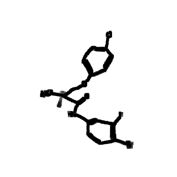 C[C@](O)(COc1ccc(Cl)cc1)C(=O)Nc1ccc(Br)c(F)c1